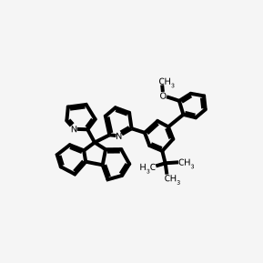 COc1ccccc1-c1cc(-c2cccc(C3(c4ccccn4)c4ccccc4-c4ccccc43)n2)cc(C(C)(C)C)c1